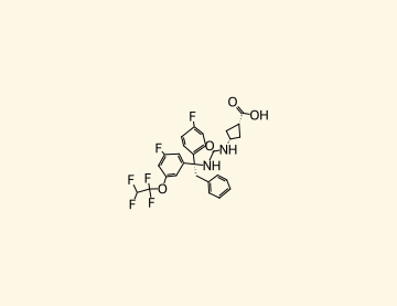 O=C(N[C@](Cc1ccccc1)(c1ccc(F)cc1)c1cc(F)cc(OC(F)(F)C(F)F)c1)N[C@H]1C[C@@H](C(=O)O)C1